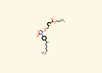 CCCCCC(F)c1ccc(N2C(=O)OC[C@@H]2COCc2ccc(C(=O)OCCC)s2)cc1